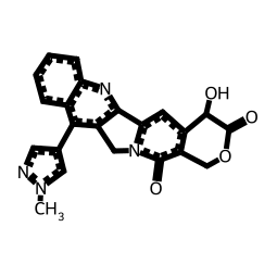 Cn1cc(-c2c3c(nc4ccccc24)-c2cc4c(c(=O)n2C3)COC(=O)C4O)cn1